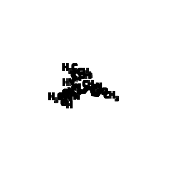 COc1ccc([C@H](C)Cc2nc(N[C@@H](CO)CC(C)C)nc(NS(C)(=O)=O)n2)cn1